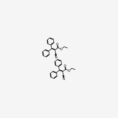 CCOC(=O)C(C#N)=C(c1ccccc1)c1ccccc1.CCOC(=O)C(C#N)=C(c1ccccc1)c1ccccc1